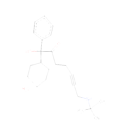 CC(C)(C)NCC#CCCC(=O)C(O)(c1ccccc1)C1CCCCC1.O